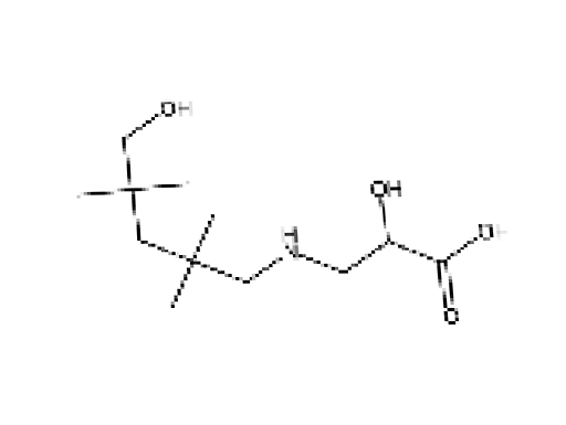 CC(C)(CO)CC(C)(C)CNCC(O)C(=O)O